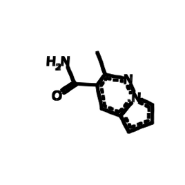 Cc1nn2cccc2cc1C(N)=O